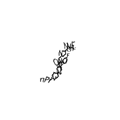 CCCN1CCC(N2CC(F)(C(=O)N(Cc3ccc(-c4nnc(C(F)F)o4)cn3)c3cccc(F)c3)C2)CC1